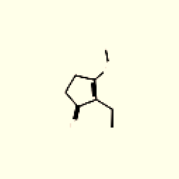 CCC1=C(OC)CCC1=O